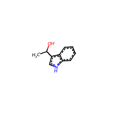 CC(O)c1c[nH]c2ccccc12